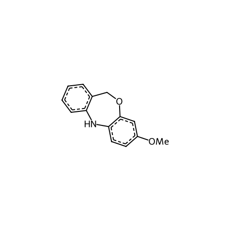 COc1ccc2c(c1)OCc1ccccc1N2